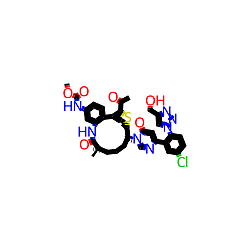 COC(=O)Nc1ccc2c(c1)NC(=O)[C@H](C)CCC[C@H](n1cnc(-c3cc(Cl)ccc3-n3cc(CO)nn3)cc1=O)c1cc-2c(C(C)=O)s1